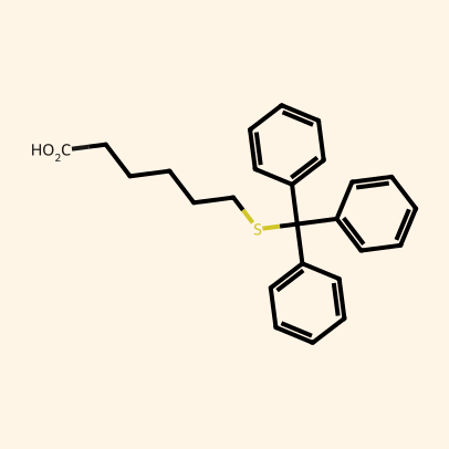 O=C(O)CCCCCSC(c1ccccc1)(c1ccccc1)c1ccccc1